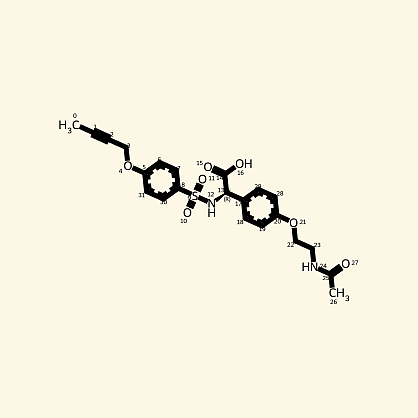 CC#CCOc1ccc(S(=O)(=O)N[C@@H](C(=O)O)c2ccc(OCCNC(C)=O)cc2)cc1